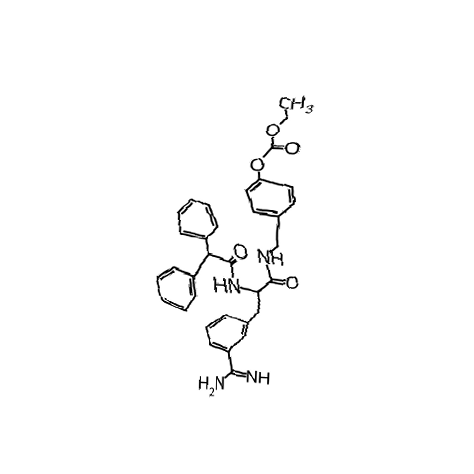 CCOC(=O)Oc1ccc(CNC(=O)C(Cc2cccc(C(=N)N)c2)NC(=O)C(c2ccccc2)c2ccccc2)cc1